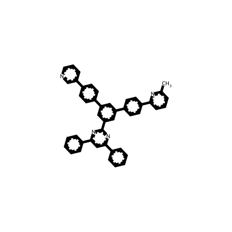 Cc1cccc(-c2ccc(-c3cc(-c4ccc(-c5cccnc5)cc4)cc(-c4nc(-c5ccccc5)cc(-c5ccccc5)n4)c3)cc2)n1